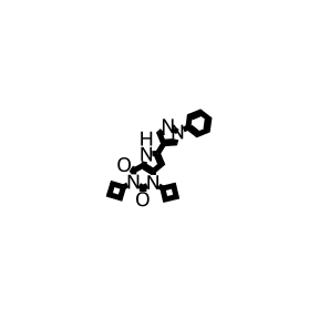 O=c1c2[nH]c(-c3cnn(-c4ccccc4)c3)cc2n(C2CCC2)c(=O)n1C1CCC1